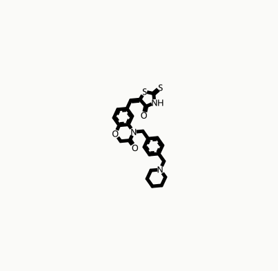 O=C1NC(=S)SC1=Cc1ccc2c(c1)N(Cc1ccc(CN3CCCCC3)cc1)C(=O)CO2